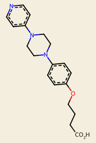 O=C(O)CCCOc1ccc(N2CCN(c3ccncc3)CC2)cc1